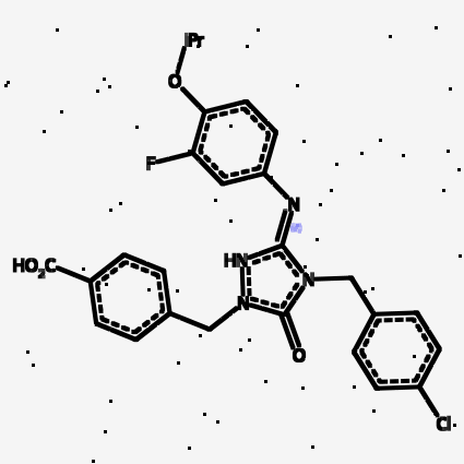 CC(C)Oc1ccc(/N=c2\[nH]n(Cc3ccc(C(=O)O)cc3)c(=O)n2Cc2ccc(Cl)cc2)cc1F